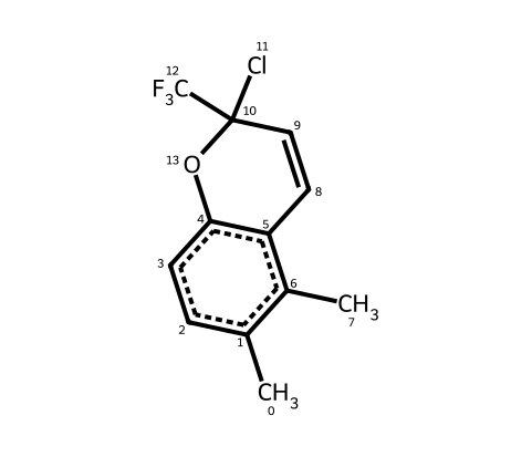 Cc1ccc2c(c1C)C=CC(Cl)(C(F)(F)F)O2